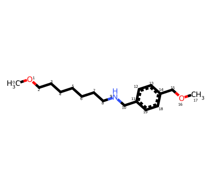 COCCCCCCCNCc1ccc(COC)cc1